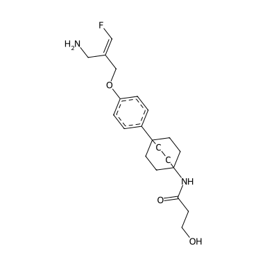 NC/C(=C\F)COc1ccc(C23CCC(NC(=O)CCO)(CC2)CC3)cc1